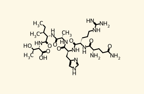 CC[C@H](C)[C@H](NC(=O)[C@H](C)NC(=O)[C@H](Cc1c[nH]cn1)NC(=O)[C@H](CCCNC(=N)N)NC(=O)[C@@H](N)CCC(N)=O)C(=O)N[C@H](C(=O)O)[C@@H](C)O